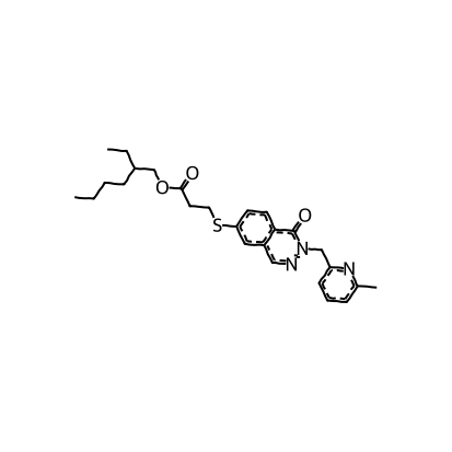 CCCCC(CC)COC(=O)CCSc1ccc2c(=O)n(Cc3cccc(C)n3)ncc2c1